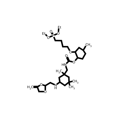 C=C1COC(CNC2CC(C)(C)CC(C)(CNC(=O)OC3CCC(C)CC3OCCCCP(=O)(OCC)OCC)C2)O1